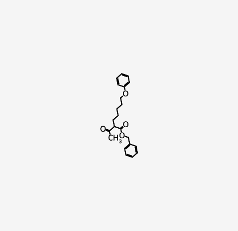 CC(=O)C(CCCCCOc1ccccc1)C(=O)OCc1ccccc1